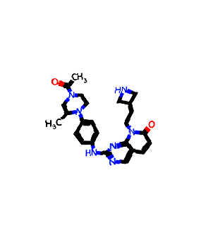 CC(=O)N1CCN(c2ccc(Nc3ncc4ccc(=O)n(CCC5CNC5)c4n3)cc2)C(C)C1